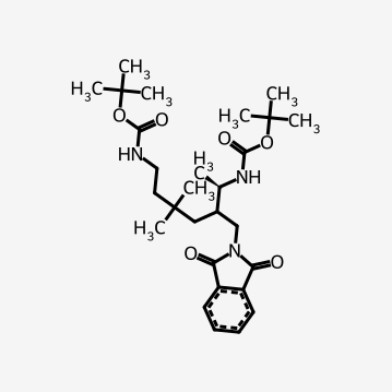 C[C@@H](NC(=O)OC(C)(C)C)C(CN1C(=O)c2ccccc2C1=O)CC(C)(C)CCNC(=O)OC(C)(C)C